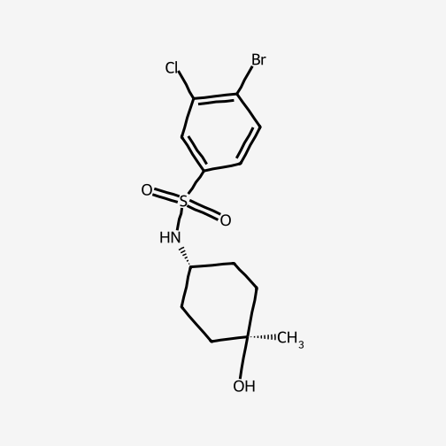 C[C@]1(O)CC[C@H](NS(=O)(=O)c2ccc(Br)c(Cl)c2)CC1